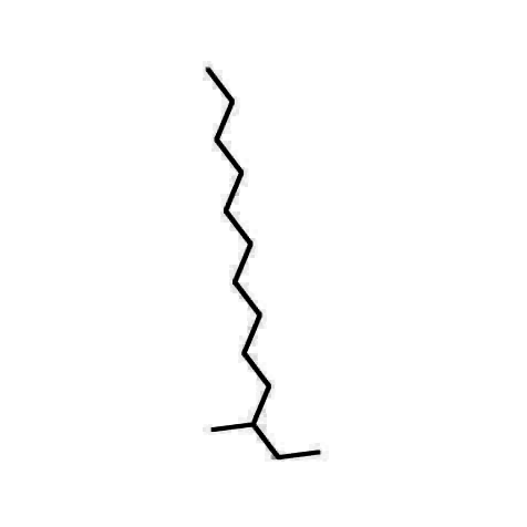 C[CH]C(C)CCCCCCCCCC